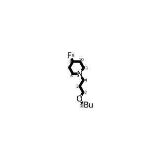 CCC(C)OCCCN1CCC(F)CC1